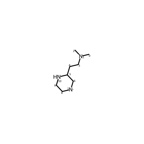 CN(C)CCC1C[N]CCN1